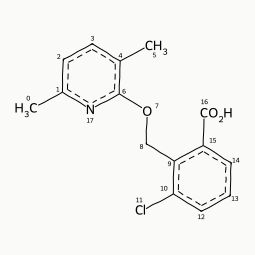 Cc1ccc(C)c(OCc2c(Cl)cccc2C(=O)O)n1